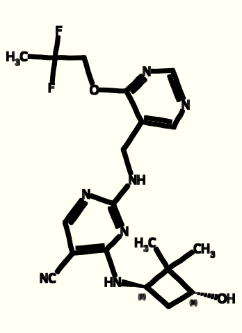 CC(F)(F)COc1ncncc1CNc1ncc(C#N)c(N[C@@H]2C[C@@H](O)C2(C)C)n1